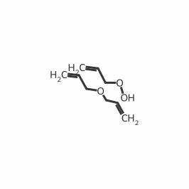 C=CCOCC=C.C=CCOO